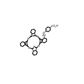 O=C(O)c1ccc([O][Pd][c]2cccc3c4nc5nc(nc6[nH]c(nc7nc(nc([nH]4)c23)-c2ccccc2-7)c2ccccc62)-c2ccccc2-5)cc1